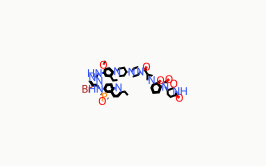 CCc1ccc2c(P(C)(C)=O)c(Nc3nc(Nc4cc(CC)c(N5CCC(N6CCN(C(=O)C7CN(c8cccc9c8oc(=O)n9C8CCC(=O)NC8=O)C7)CC6)CC5)cc4OC)ncc3Br)ccc2n1